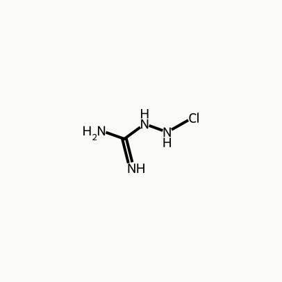 N=C(N)NNCl